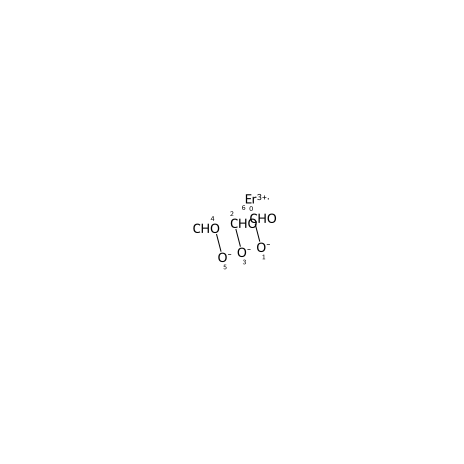 O=C[O-].O=C[O-].O=C[O-].[Er+3]